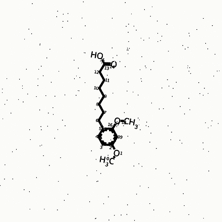 COc1ccc(CCCCCCCC(=O)O)c(OC)c1